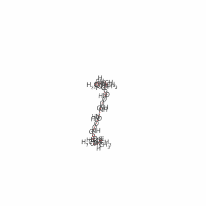 CC(C)C(NC(=O)[C@@H]1CCCN1C(=O)[C@@H](NC(=O)c1ccc(C(=O)NCCOCCOCCNC(=O)NCCCCNC(=O)NCCOCCOCCNC(=O)c2ccc(C(=O)N[C@H](C(=O)N3CCC[C@H]3C(=O)NC(C(=O)C(F)(F)F)C(C)C)C(C)C)cc2)cc1)C(C)C)C(=O)C(F)(F)F